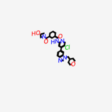 O=C(Nc1cc(-c2ccc3ncn(CC4CCOCC4)c3c2)c(Cl)cn1)C1CCCC(C(=O)N2CC(O)C2)C1